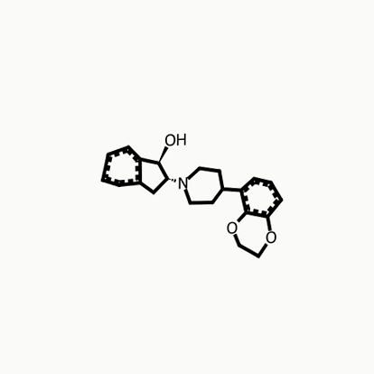 O[C@@H]1c2ccccc2C[C@H]1N1CCC(c2cccc3c2OCCO3)CC1